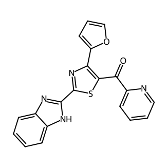 O=C(c1ccccn1)c1sc(-c2nc3ccccc3[nH]2)nc1-c1ccco1